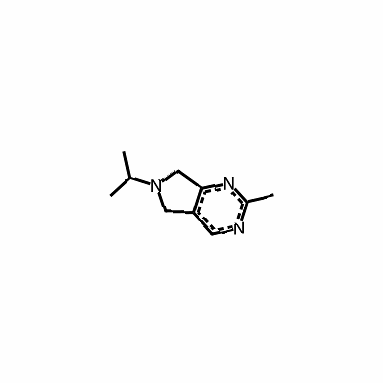 Cc1ncc2c(n1)CN(C(C)C)C2